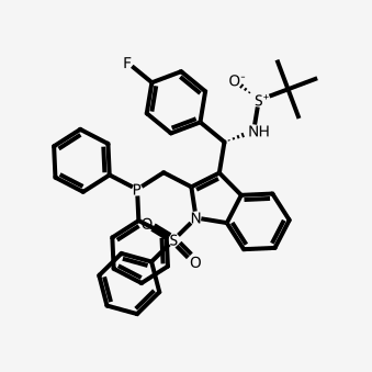 CC(C)(C)[S@@+]([O-])N[C@@H](c1ccc(F)cc1)c1c(CP(c2ccccc2)c2ccccc2)n(S(=O)(=O)c2ccccc2)c2ccccc12